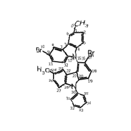 Cc1ccc2c(c1)c1cc(Br)ccc1n2-c1c(Br)ccc2c1c1cc(C)ccc1n2-c1ccccc1